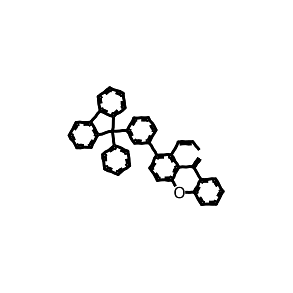 C=C1c2ccccc2Oc2ccc(-c3cccc(C4(c5ccccc5)c5ccccc5-c5ccccc54)c3)c(/C=C\C)c21